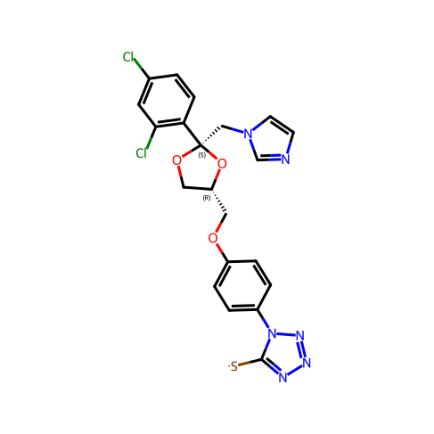 [S]c1nnnn1-c1ccc(OC[C@@H]2CO[C@@](Cn3ccnc3)(c3ccc(Cl)cc3Cl)O2)cc1